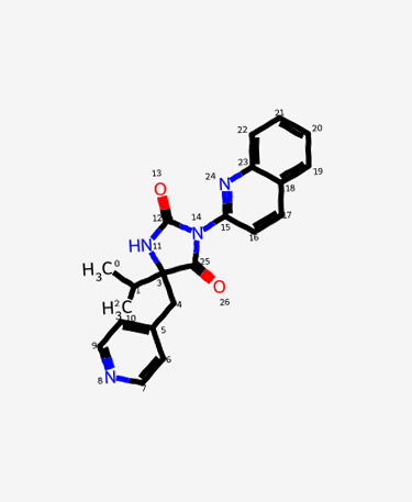 CC(C)C1(Cc2ccncc2)NC(=O)N(c2ccc3ccccc3n2)C1=O